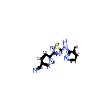 Cc1cccnc1Nc1nc(-c2ccc(C#N)cn2)ns1